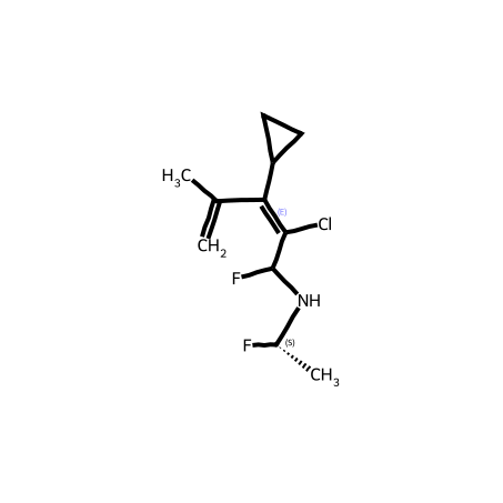 C=C(C)/C(=C(/Cl)C(F)N[C@H](C)F)C1CC1